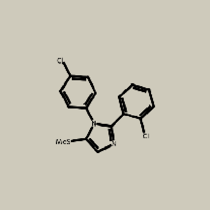 CSc1cnc(-c2ccccc2Cl)n1-c1ccc(Cl)cc1